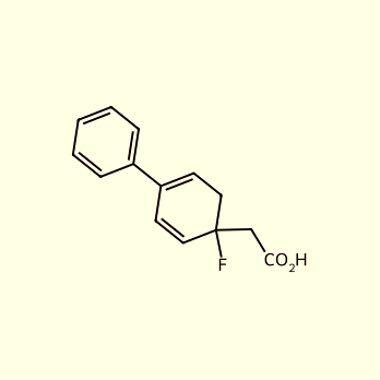 O=C(O)CC1(F)C=CC(c2ccccc2)=CC1